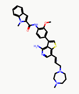 COc1cc(-c2csc3c(/C=C/CN4CCCN(C)CC4)cnc(N)c23)ccc1NC(=O)c1cc2ccccc2n1C